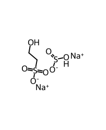 O=S(=O)([O-])CCO.O=S([O-])O.[Na+].[Na+]